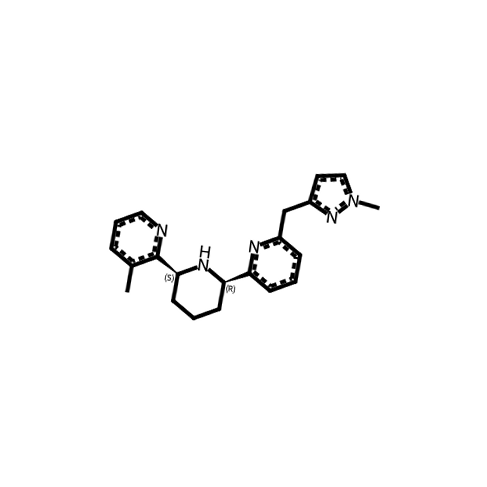 Cc1cccnc1[C@@H]1CCC[C@H](c2cccc(Cc3ccn(C)n3)n2)N1